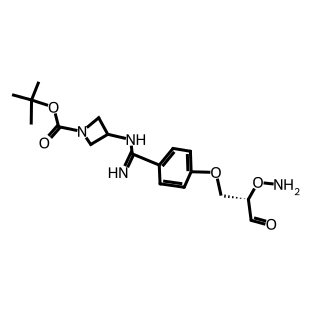 CC(C)(C)OC(=O)N1CC(NC(=N)c2ccc(OC[C@@H](C=O)ON)cc2)C1